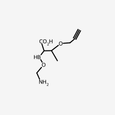 C#CCOC(C)C(BOCN)C(=O)O